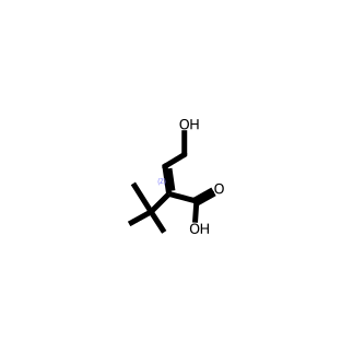 CC(C)(C)/C(=C/CO)C(=O)O